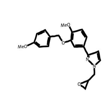 COc1ccc(COc2cc(-c3ccn(CC4CO4)n3)ccc2OC)cc1